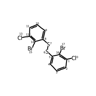 Clc1cccc(SSc2cccc(Cl)c2Br)c1Br